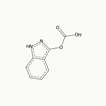 O=C(O)Oc1n[nH]c2ccccc12